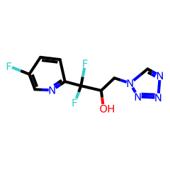 OC(Cn1cnnn1)C(F)(F)c1ccc(F)cn1